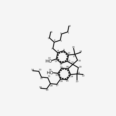 CCCCC(CC)Cc1cc2c(cc1O)C1(CC2(C)C)CC(C)(C)c2cc(CC(CC)CCCC)c(O)cc21